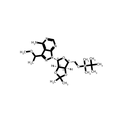 COC(C)c1nn([C@@H]2O[C@H](CO[Si](C)(C)C(C)(C)C)[C@H]3OC(C)(C)O[C@H]32)c2ncnc(N)c12